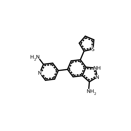 Nc1cc(-c2cc(-c3cccs3)c3[nH]nc(N)c3c2)ccn1